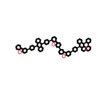 c1ccc(-c2ccccc2-c2c3ccccc3c(-c3ccc(-c4ccc5oc6ccc(-c7ccc8c(c7)oc7c(-c9ccc(-c%10c%11ccccc%11c(-c%11ccc(-c%12ccc%13oc%14ccccc%14c%13c%12)cc%11)c%11ccccc%10%11)cc9)cccc78)cc6c5c4)cc3)c3ccccc23)cc1